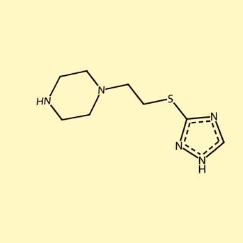 c1nc(SCCN2CCNCC2)n[nH]1